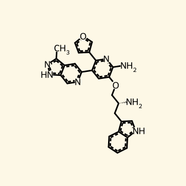 Cc1n[nH]c2cnc(-c3cc(OC[C@H](N)Cc4c[nH]c5ccccc45)c(N)nc3-c3ccoc3)cc12